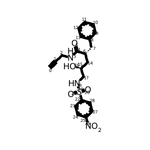 C#CCNC(=O)[C@H](Cc1ccccc1)C[C@H](O)CNS(=O)(=O)c1ccc([N+](=O)[O-])cc1